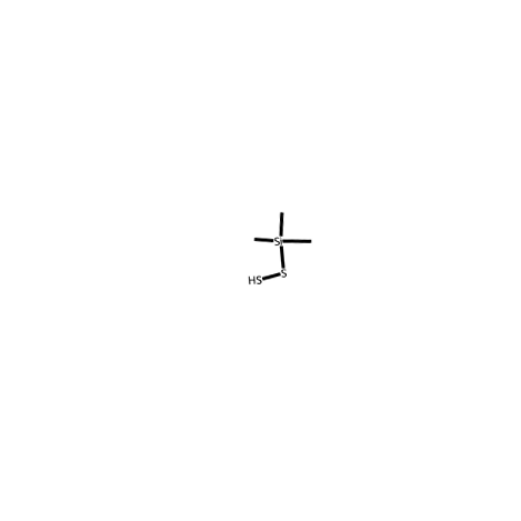 C[Si](C)(C)SS